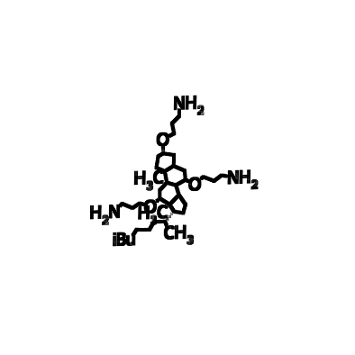 CCC(C)CCCC(C)[C@H]1CCC2C3C(OCCCN)CC4C[C@H](OCCCN)CC[C@]4(C)C3C[C@H](OCCCN)[C@@]21C